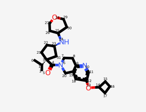 CC(C)[C@]1(C(=O)N2CCc3ncc(OC4CCC4)cc3C2)CC[C@@H](NC2CCOCC2)C1